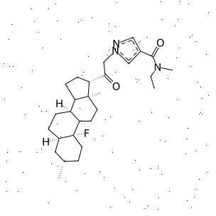 CCN(C)C(=O)c1cnn(CC(=O)[C@H]2CCC3[C@@H]4CC[C@@H]5C[C@@H](C)CC[C@]5(F)C4CC[C@@]32C)c1